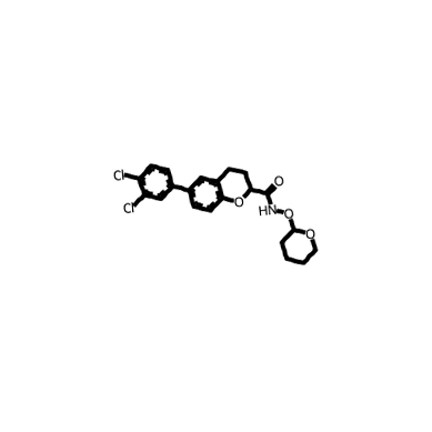 O=C(NOC1CCCCO1)C1CCc2cc(-c3ccc(Cl)c(Cl)c3)ccc2O1